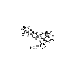 CCN(C(=O)O)[C@@H]1C[C@H](C)[N+](C)(C(C)=O)c2ccc(-c3ccc(CN4CCNCC4=O)cc3)cc21.Cl